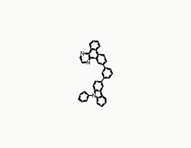 c1ccc(-n2c3ccccc3c3cc(-c4cccc(-c5ccc6c7ccccc7c7nccnc7c6c5)c4)ccc32)cc1